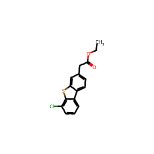 CCOC(=O)Cc1ccc2c(c1)sc1c(Cl)cccc12